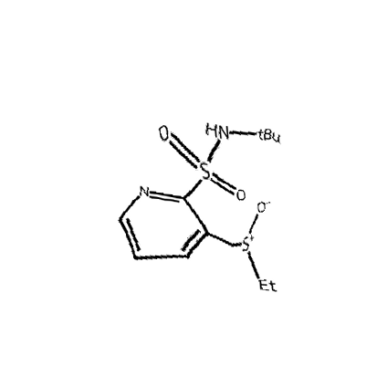 CC[S+]([O-])c1cccnc1S(=O)(=O)NC(C)(C)C